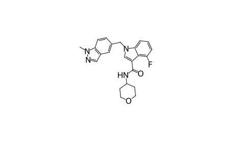 Cn1ncc2cc(Cn3cc(C(=O)NC4CCOCC4)c4c(F)cccc43)ccc21